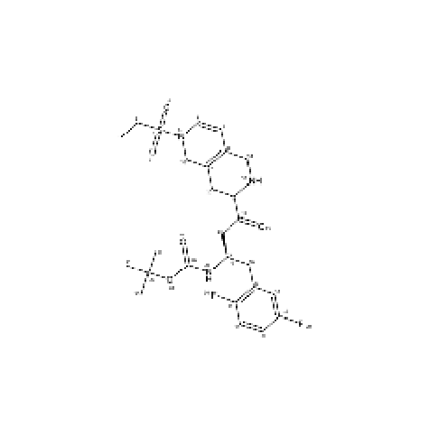 CCS(=O)(=O)N1C=CC2=C(CC(C(=O)C[C@@H](Cc3cc(F)ccc3F)NC(=O)OC(C)(C)C)NC2)C1